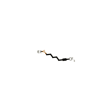 C[CH]SCCCCCC#CC(F)(F)F